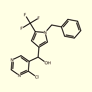 OC(c1cc(C(F)(F)F)n(Cc2ccccc2)c1)c1cncnc1Cl